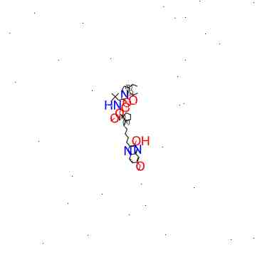 CC[C@@H]1CCN(C(=O)C(NC(=O)O[C@]2(COC)CCC[C@H]2CCCCCc2nc3ccc(OC)cc3nc2O)C(C)(C)C)[C@@H]1C(C)=O